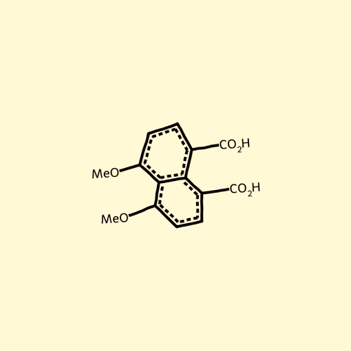 COc1ccc(C(=O)O)c2c(C(=O)O)ccc(OC)c12